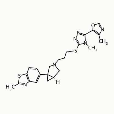 Cc1nc2cc([C@]34C[C@@H]3CN(CCCSc3nnc(-c5ocnc5C)n3C)C4)ccc2s1